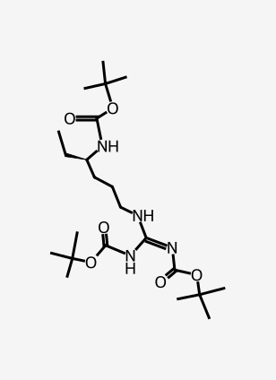 CC[C@H](CCCN/C(=N/C(=O)OC(C)(C)C)NC(=O)OC(C)(C)C)NC(=O)OC(C)(C)C